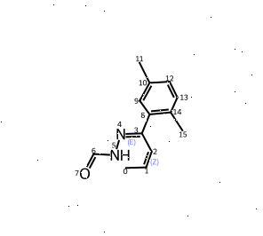 C/C=C\C(=N/NC=O)c1cc(C)ccc1C